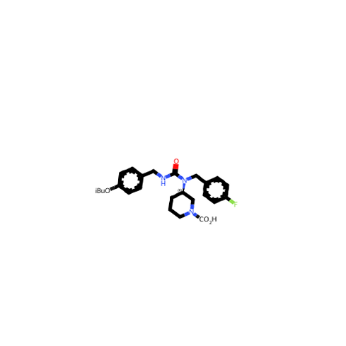 CC(C)COc1ccc(CNC(=O)N(Cc2ccc(F)cc2)[C@@H]2CCCN(C(=O)O)C2)cc1